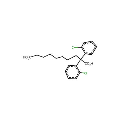 O=C(O)CCCCCCCC(C(=O)O)(c1ccccc1Cl)c1ccccc1Cl